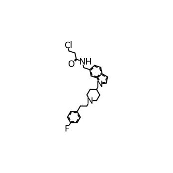 O=C(CCCl)NCc1ccc2ccn(C3CCN(CCc4ccc(F)cc4)CC3)c2c1